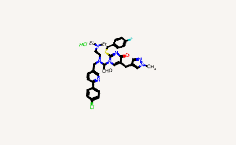 CCN(CC)CCN(Cc1ccc(-c2ccc(Cl)cc2)nc1)C(C=O)n1cc(Cc2cnn(C)c2)c(=O)nc1SCc1ccc(F)cc1.Cl